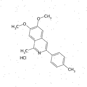 COc1cc2cc(-c3ccc(C)cc3)nc(C)c2cc1OC.Cl